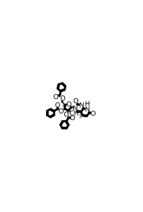 C[C@@]1(OC(=O)c2ccccc2)C(OC(=O)c2ccccc2)[C@@H](COC(=O)c2ccccc2)O[C@H]1n1cc2ccc(=O)[nH]c2nc1=O